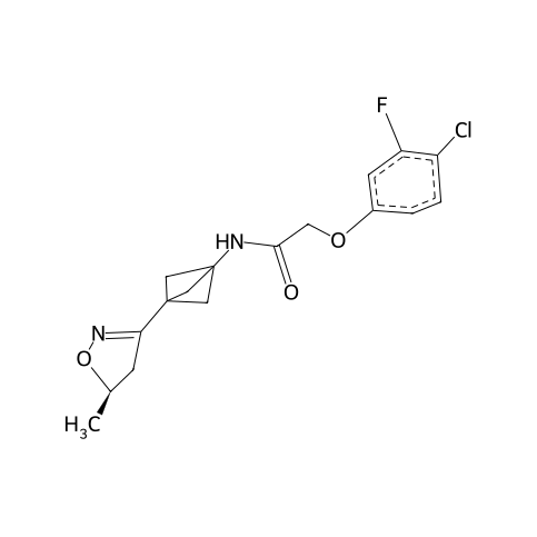 C[C@@H]1CC(C23CC(NC(=O)COc4ccc(Cl)c(F)c4)(C2)C3)=NO1